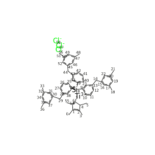 CC1=C(C)C(C)[C]([Ti+3][Si](c2cccc(Cc3cc(C)cc(C)c3)c2)(c2cccc(Cc3cc(C)cc(C)c3)c2)c2cccc(Cc3cc(C)cc(C)c3)c2)=C1C.[Cl-].[Cl-].[Cl-]